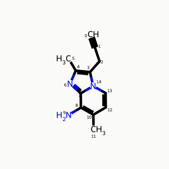 C#CCc1c(C)nc2c(N)c(C)ccn12